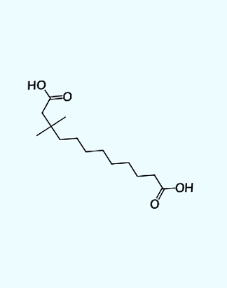 CC(C)(CCCCCCCCC(=O)O)CC(=O)O